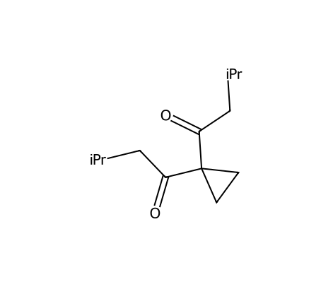 CC(C)CC(=O)C1(C(=O)CC(C)C)CC1